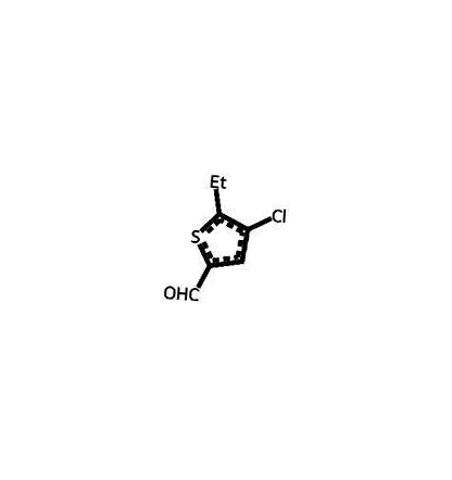 CCc1sc(C=O)cc1Cl